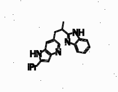 CC(C)c1cc2ncc(CC(C)c3nc4ccccc4[nH]3)cc2[nH]1